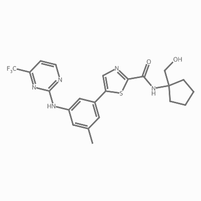 Cc1cc(Nc2nccc(C(F)(F)F)n2)cc(-c2cnc(C(=O)NC3(CO)CCCC3)s2)c1